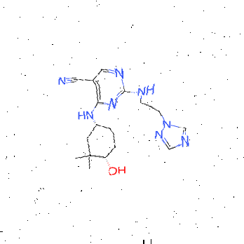 CC1(C)C[C@H](Nc2nc(NCCn3cncn3)ncc2C#N)CC[C@@H]1O